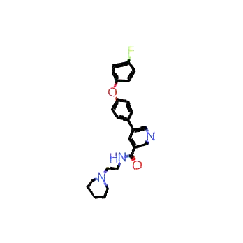 O=C(NCCN1CCCCC1)c1cncc(-c2ccc(Oc3ccc(F)cc3)cc2)c1